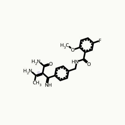 COc1ccc(F)cc1C(=O)NCc1ccc(C(=N)/C(C(N)=O)=C(\C)N)cc1